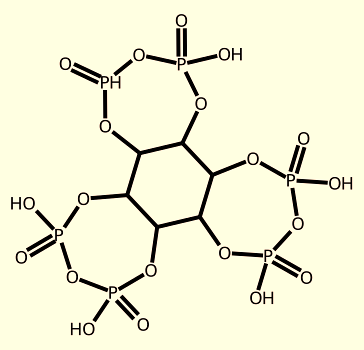 O=[PH]1OC2C(OP(=O)(O)O1)C1OP(=O)(O)OP(=O)(O)OC1C1OP(=O)(O)OP(=O)(O)OC21